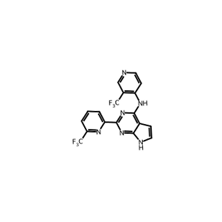 FC(F)(F)c1cccc(-c2nc(Nc3ccncc3C(F)(F)F)c3cc[nH]c3n2)n1